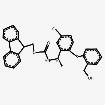 C[C@@H](NC(=O)OCC1c2ccccc2-c2ccccc21)c1cc(Cl)ccc1Sc1ccccc1CO